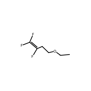 C[CH]OCCC(F)=C(F)F